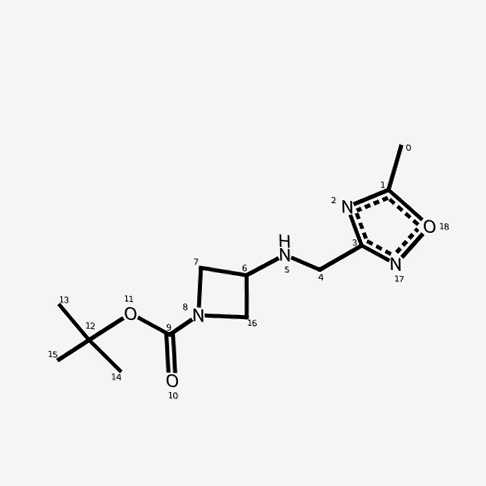 Cc1nc(CNC2CN(C(=O)OC(C)(C)C)C2)no1